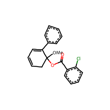 COC1(OC(=O)c2ccccc2Cl)CC=CC=C1c1ccccc1